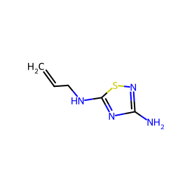 C=CCNc1nc(N)ns1